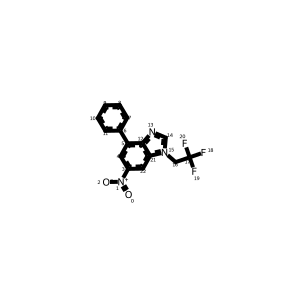 O=[N+]([O-])c1cc(-c2ccccc2)c2ncn(CC(F)(F)F)c2c1